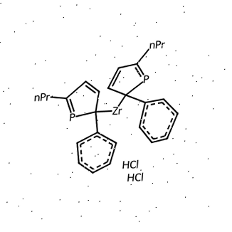 CCCC1=P[C]([Zr][C]2(c3ccccc3)C=CC(CCC)=P2)(c2ccccc2)C=C1.Cl.Cl